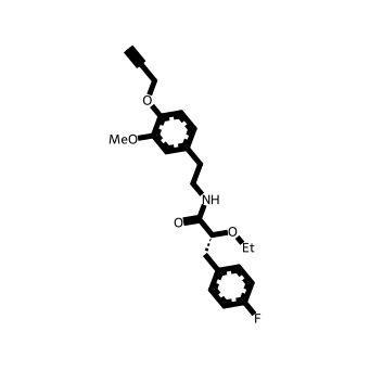 C#CCOc1ccc(CCNC(=O)[C@@H](Cc2ccc(F)cc2)OCC)cc1OC